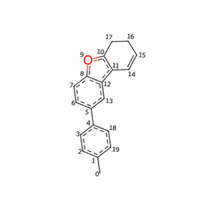 Cc1ccc(-c2ccc3oc4c(c3c2)C=CCC4)cc1